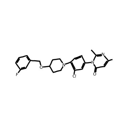 Cc1cc(=O)n(-c2ccc(N3CCC(OCc4cccc(F)c4)CC3)c(Cl)c2)c(C)n1